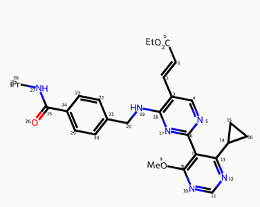 CCOC(=O)/C=C/c1cnc(-c2c(OC)ncnc2C2CC2)nc1NCc1ccc(C(=O)NC(C)C)cc1